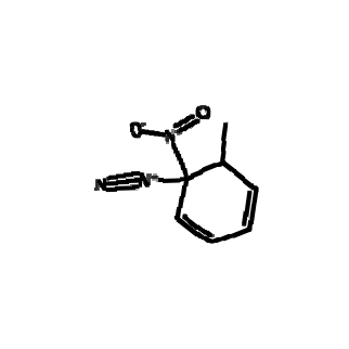 CC1C=CC=CC1([N+]#N)[N+](=O)[O-]